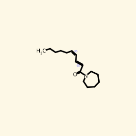 CCCCC/C=C\C=C\C(=O)N1CCCCCC1